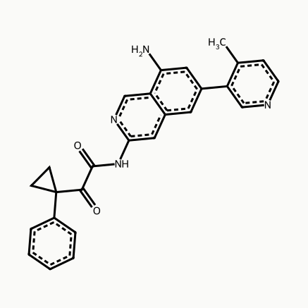 Cc1ccncc1-c1cc(N)c2cnc(NC(=O)C(=O)C3(c4ccccc4)CC3)cc2c1